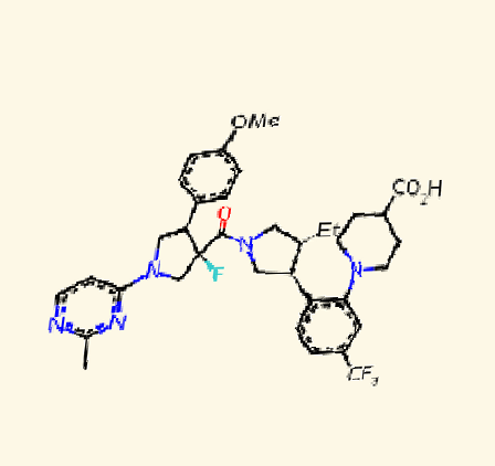 CC[C@H]1CN(C(=O)[C@]2(F)CN(c3ccnc(C)n3)C[C@H]2c2ccc(OC)cc2)C[C@@H]1c1ccc(C(F)(F)F)cc1N1CCC(C(=O)O)CC1